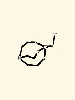 CCO[Si]12SCCN(CCS1)CCS2